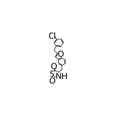 O=C1NC(Cc2ccc3oc(Cc4cccc(Cl)c4)cc3c2)C(=O)S1